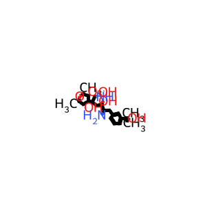 CC1CC(O)(C(CC(O)C(N)Cc2cccc(C(C)(C)O)c2)C(=O)NO)CC(C)O1